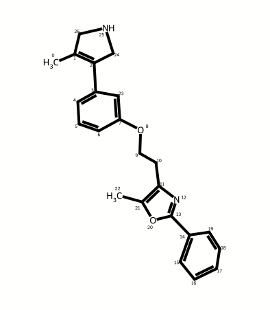 CC1=C(c2cccc(OCCc3nc(-c4ccccc4)oc3C)c2)CNC1